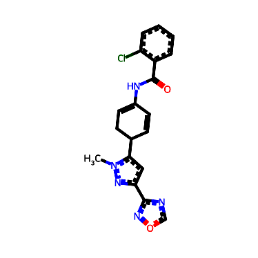 Cn1nc(-c2ncon2)cc1C1C=CC(NC(=O)c2ccccc2Cl)=CC1